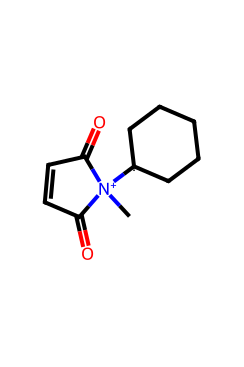 C[N+]1([C]2CCCCC2)C(=O)C=CC1=O